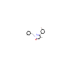 Cc1cc(=O)n(CCc2cccc(C(=O)O)c2)nc1-c1cccc(CO)c1